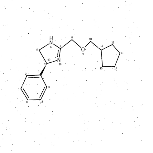 c1ccc([C@H]2CNC(COCC3CCCC3)=N2)cc1